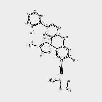 CC1(C#Cc2cc3c(cc2F)Oc2ccc(-c4cccnc4F)cc2[C@@]32COC(N)=N2)COC1